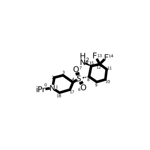 CC(C)N1CCC(S(=O)(=O)[C@H]2CCCC(F)(F)[C@@H]2N)CC1